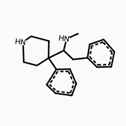 CNC(Cc1ccccc1)C1(c2ccccc2)CCNCC1